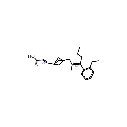 CCC/C(=C(/C)CC12CC(/C=C/C(=O)O)(C1)C2)c1ccccc1CC